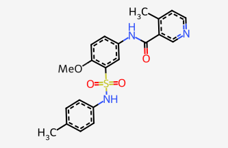 COc1ccc(NC(=O)c2cnccc2C)cc1S(=O)(=O)Nc1ccc(C)cc1